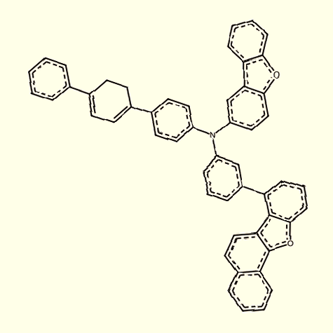 C1=C(c2ccccc2)CCC(c2ccc(N(c3cccc(-c4cccc5oc6c7ccccc7ccc6c45)c3)c3ccc4oc5ccccc5c4c3)cc2)=C1